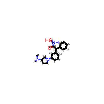 CN(C)C1CCN(c2cccc(C(C(=O)NO)c3ccccc3)c2)C1